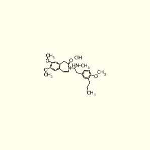 CCCc1cc(CC(NC)N2C=Cc3cc(OC)c(OC)cc3CC2=O)ccc1OC.Cl